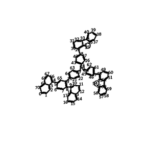 c1ccc2c(-c3ccc(-c4cccc5ccccc45)c(-c4ccc(N(c5ccc(-c6cccc7c6oc6ccccc67)cc5)c5ccc(-c6cccc7c6oc6ccccc67)cc5)cc4)c3)cccc2c1